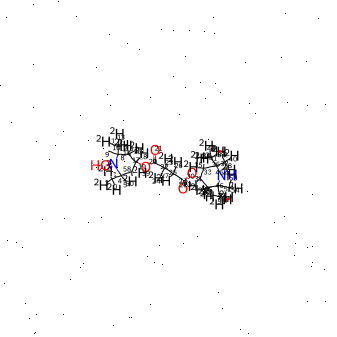 [2H]C([2H])([2H])C1(C)N(O)C(C)(C([2H])([2H])[2H])C([2H])([2H])C([2H])(OC(=O)C([2H])([2H])C([2H])([2H])C(=O)OC2([2H])C([2H])([2H])C(C([2H])([2H])[2H])(C([2H])([2H])[2H])NC(C([2H])([2H])[2H])(C([2H])([2H])[2H])C2([2H])[2H])C1([2H])[2H]